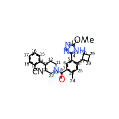 COc1nnc(-c2cc(C(=O)N3CCC(c4ccccc4C#N)CC3)c(C)cc2C2CCC2)[nH]1